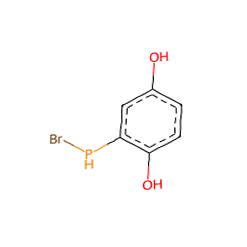 Oc1ccc(O)c(PBr)c1